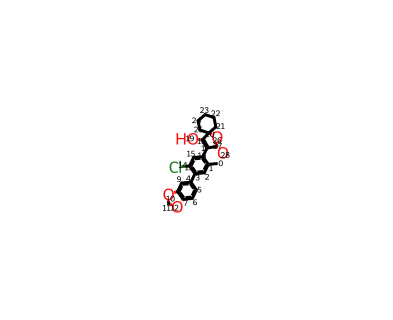 Cc1cc(-c2ccc3c(c2)OCO3)c(Cl)cc1C1=C(O)C2(CCCCC2)OC1=O